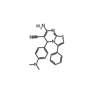 CN(C)c1ccc(C2C(C#N)=C(N)N=C3SC=C(c4ccccc4)N32)cc1